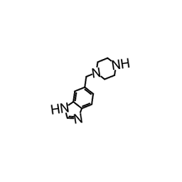 c1nc2ccc(CN3CCNCC3)cc2[nH]1